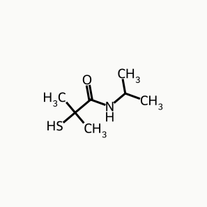 CC(C)NC(=O)C(C)(C)S